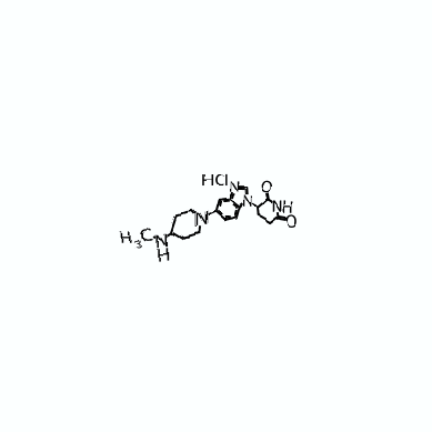 CNC1CCN(c2ccc3c(c2)ncn3C2CCC(=O)NC2=O)CC1.Cl